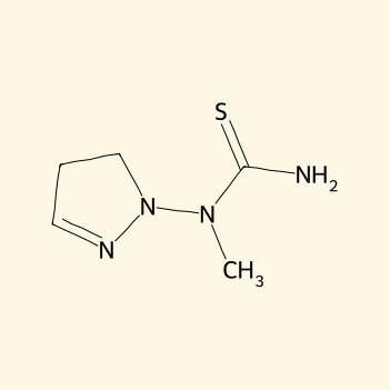 CN(C(N)=S)N1CCC=N1